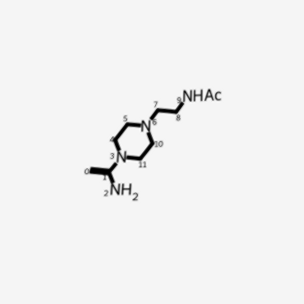 C=C(N)N1CCN(CCNC(C)=O)CC1